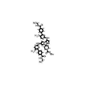 Cc1cnc(Nc2cnn(C3(n4cc(Nc5ncc(C)c(-c6ccc(C(=O)NCC#N)cc6)n5)cn4)CCN(C(=O)OC(C)(C)C)CC3)c2)nc1-c1ccc(C(=O)NCC#N)cc1